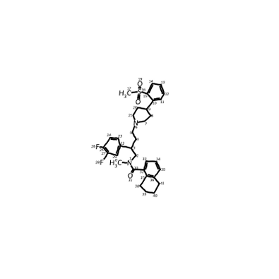 CN(CC(CCN1CCC(c2ccccc2S(C)(=O)=O)CC1)c1ccc(F)c(F)c1)C(=O)c1cccc2c1CCCC2